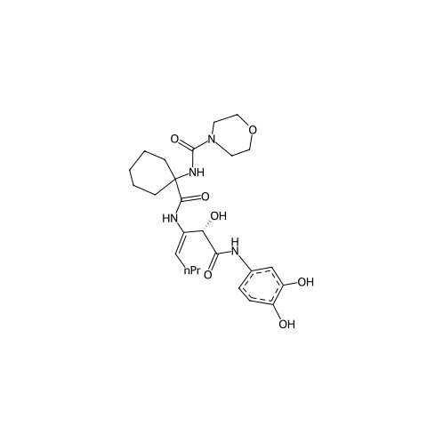 CCC/C=C(/NC(=O)C1(NC(=O)N2CCOCC2)CCCCC1)[C@H](O)C(=O)Nc1ccc(O)c(O)c1